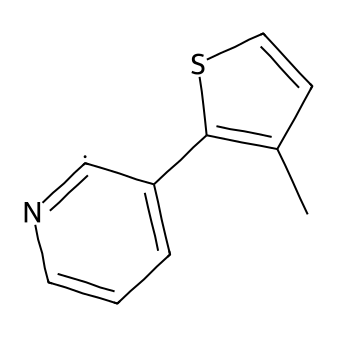 Cc1ccsc1-c1[c]nccc1